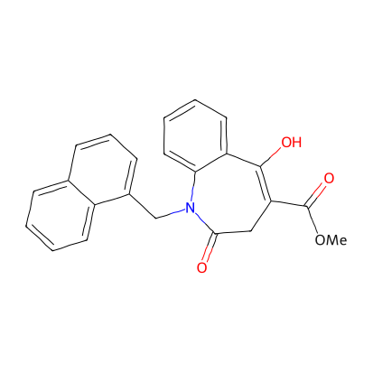 COC(=O)C1=C(O)c2ccccc2N(Cc2cccc3ccccc23)C(=O)C1